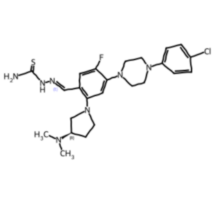 CN(C)[C@@H]1CCN(c2cc(N3CCN(c4ccc(Cl)cc4)CC3)c(F)cc2/C=N/NC(N)=S)C1